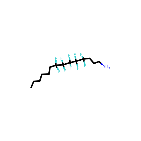 CCCCCCC(F)(F)C(F)(F)C(F)(F)C(F)(F)C(F)(F)CCCN